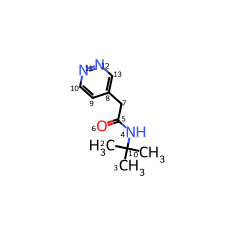 CC(C)(C)NC(=O)Cc1ccnnc1